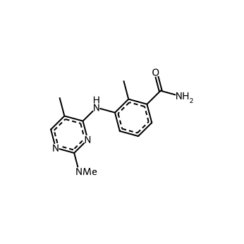 CNc1ncc(C)c(Nc2cccc(C(N)=O)c2C)n1